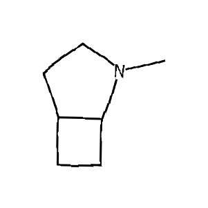 CN1CCC2CCC21